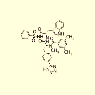 Cc1cc(C)cc(C(=O)N(C)[C@H](Cc2ccc(-c3nnn[nH]3)cc2)C(=O)N[C@@H](Cc2c[nH]c3ccccc23)C(=O)NS(=O)(=O)c2ccccc2)c1